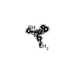 C=CCN1CCN(c2nc(OC[C@@H]3CCCN3C)nc3c2CCN(c2cccc4cccc(Cl)c24)C3)CC1